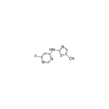 N#Cc1cnc(Nc2cc(F)ncn2)s1